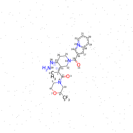 C/C(C(=O)N1CCOC(C(F)(F)F)C1)=C1/CN(C(=O)c2cc3ccccn3c2)CC/C1=N/N